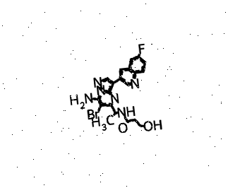 CC(NC(=O)CCO)c1nc2c(-c3cnc4ccc(F)cc4c3)cnn2c(N)c1Br